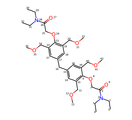 CCN(CC)C(=O)COc1c(COC)cc(Cc2cc(COC)c(OCC(=O)N(CC)CC)c(COC)c2)cc1COC